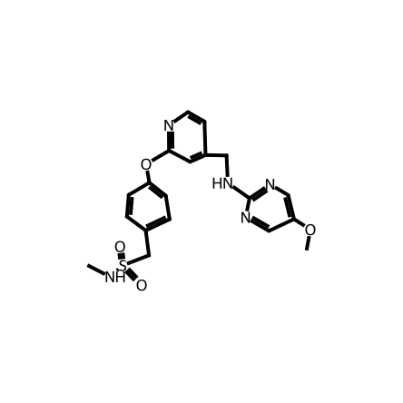 CNS(=O)(=O)Cc1ccc(Oc2cc(CNc3ncc(OC)cn3)ccn2)cc1